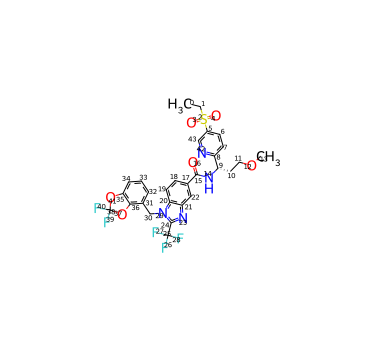 CCS(=O)(=O)c1ccc([C@H](CCOC)NC(=O)c2ccc3c(c2)nc(C(F)(F)F)n3Cc2cccc3c2OC(F)(F)O3)nc1